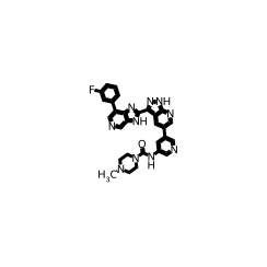 CN1CCN(C(=O)Nc2cncc(-c3cnc4[nH]nc(-c5nc6c(-c7cccc(F)c7)cncc6[nH]5)c4c3)c2)CC1